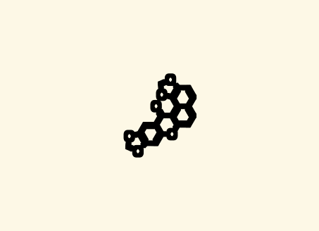 O=c1c2cc3c(cc2oc2ccc4ccc5c(c4c12)OCO5)OCO3